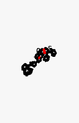 c1ccc(N(c2ccc(-c3ccc(-c4cccc5ccccc45)cc3)cc2)c2cccc3oc4ccccc4c23)c(-c2cccc3sc4ccccc4c23)c1